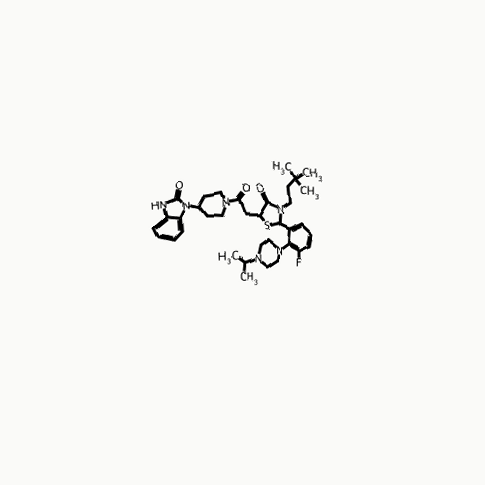 CC(C)N1CCN(c2c(F)cccc2C2SC(CC(=O)N3CCC(n4c(=O)[nH]c5ccccc54)CC3)C(=O)N2CCC(C)(C)C)CC1